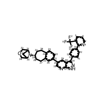 FC(F)(F)c1cccnc1-c1ccc(-c2n[nH]c3ncc(-c4ccc5c(c4)CC[C@@H](N4C6COCC4C6)CC5)cc23)cc1